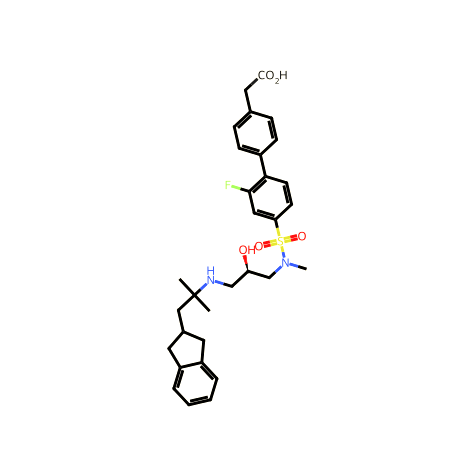 CN(C[C@H](O)CNC(C)(C)CC1Cc2ccccc2C1)S(=O)(=O)c1ccc(-c2ccc(CC(=O)O)cc2)c(F)c1